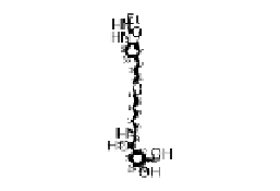 CCNC(=O)Nc1ccc(CCCCOCCCCCCNC[C@H](O)c2ccc(O)c(CO)c2)cc1